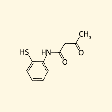 CC(=O)CC(=O)Nc1ccccc1S